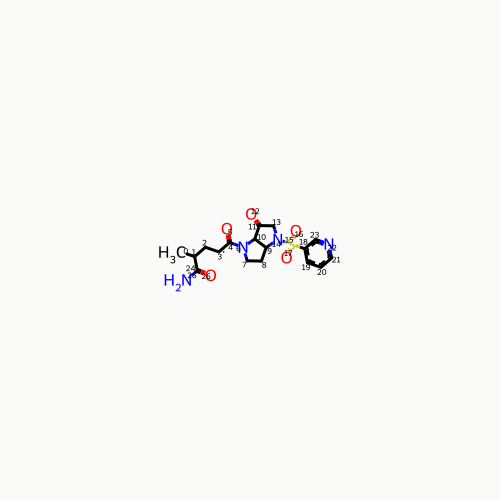 CC(C[CH]C(=O)N1CCC2C1C(=O)CN2S(=O)(=O)c1cccnc1)C(N)=O